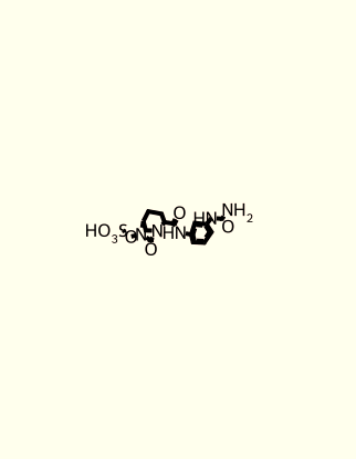 NC(=O)Nc1cccc(NC(=O)C2CCC3CN2C(=O)N3OS(=O)(=O)O)c1